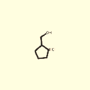 Cl.OCC1CCCC1